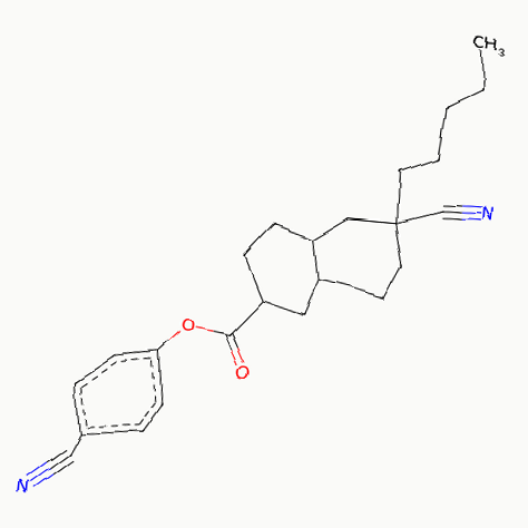 CCCCCC1(C#N)CCC2CC(C(=O)Oc3ccc(C#N)cc3)CCC2C1